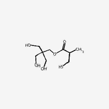 CC(CS)C(=O)OCC(CO)(CO)CO